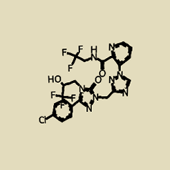 O=C(NCC(F)(F)F)c1ncccc1-n1cnc(Cn2nc(-c3ccc(Cl)cc3)n(CC(O)C(F)(F)F)c2=O)n1